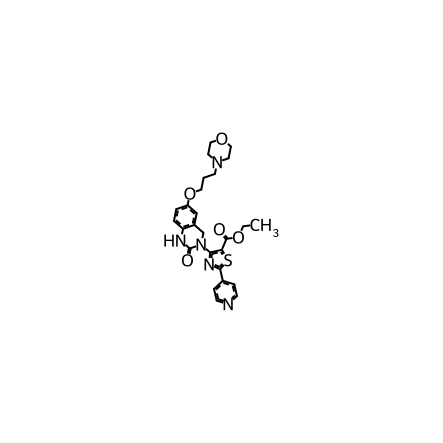 CCOC(=O)c1sc(-c2ccncc2)nc1N1Cc2cc(OCCCN3CCOCC3)ccc2NC1=O